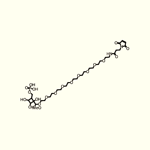 COC(OCCOCCOCCOCCOCCOCCOCCOCCOCCNC(=O)CCN1C(=O)C=CC1=O)C1(O)C(O)C(O)C1COP(=O)(O)O